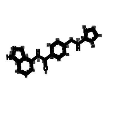 O=C(Nc1ccnc2[nH]ncc12)c1ccc(CNc2nccs2)cc1